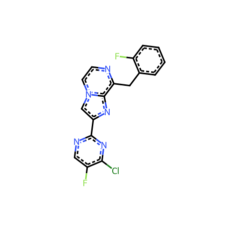 Fc1ccccc1Cc1nccn2cc(-c3ncc(F)c(Cl)n3)nc12